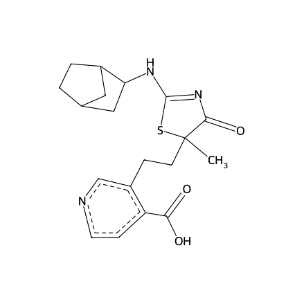 CC1(CCc2cnccc2C(=O)O)SC(NC2CC3CCC2C3)=NC1=O